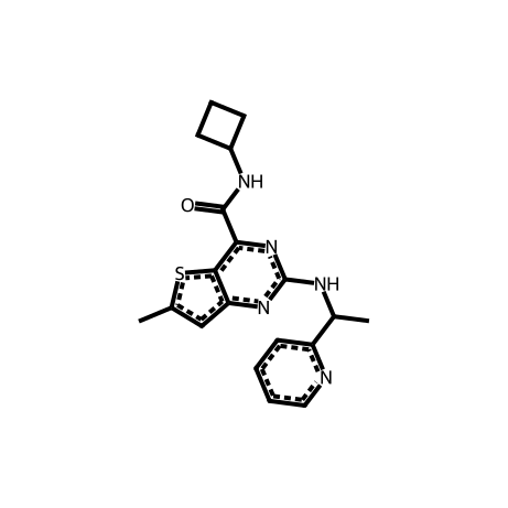 Cc1cc2nc(NC(C)c3ccccn3)nc(C(=O)NC3CCC3)c2s1